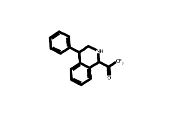 O=C(C1NCC(c2ccccc2)c2ccccc21)C(F)(F)F